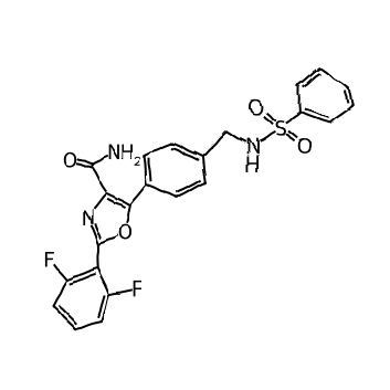 NC(=O)c1nc(-c2c(F)cccc2F)oc1-c1ccc(CNS(=O)(=O)c2ccccc2)cc1